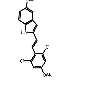 COc1cc(Cl)c(C=Cc2cc3cc(OC)ccc3[nH]2)c(Cl)c1